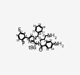 CC(C)(C)[C@H](c1nc(-c2cc(F)ccc2F)cn1Cc1ccccc1)N(CCCN)C(=O)c1ccc(N)cc1